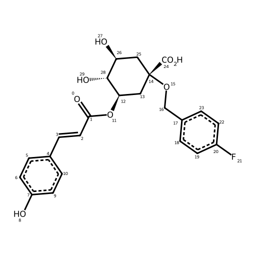 O=C(C=Cc1ccc(O)cc1)O[C@@H]1C[C@](OCc2ccc(F)cc2)(C(=O)O)C[C@H](O)[C@H]1O